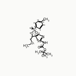 COCC(OS(=O)(=O)c1ccc(C)cc1)c1cnc(NC(=O)OC(C)(C)C)s1